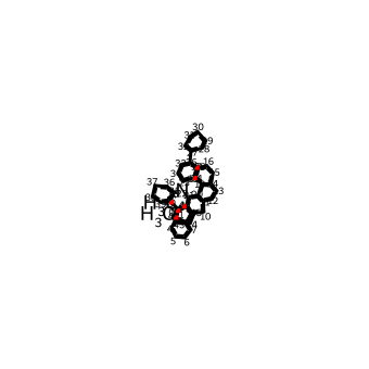 CC1(C)c2ccccc2-c2cc3ccc4ccccc4c3c(N(c3ccc(-c4ccccc4)cc3)c3ccccc3-c3ccccc3)c21